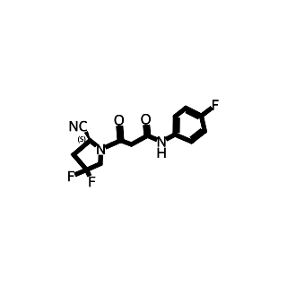 N#C[C@@H]1CC(F)(F)CN1C(=O)CC(=O)Nc1ccc(F)cc1